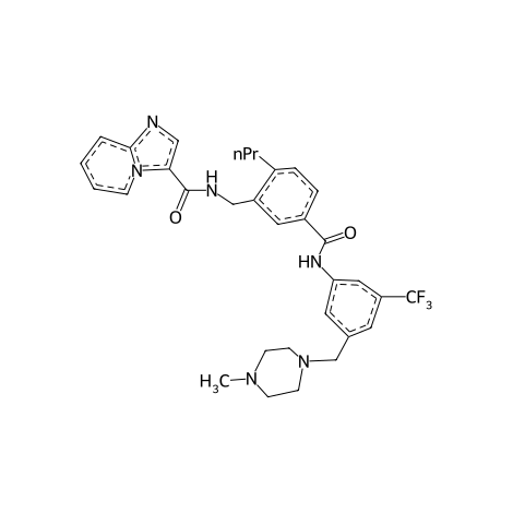 CCCc1ccc(C(=O)Nc2cc(CN3CCN(C)CC3)cc(C(F)(F)F)c2)cc1CNC(=O)c1cnc2ccccn12